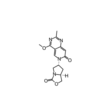 COc1nc(C)nc2cc(=O)n([C@@H]3C[C@H]4COC(=O)N4C3)cc12